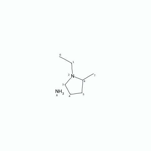 CCN1CCCC1C.N